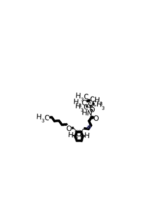 CCCCCCOC[C@@H]1[C@H](C/C=C\CC(=O)NO[Si](C)(C)C(C)(C)C)[C@@H]2CC[C@H]1O2